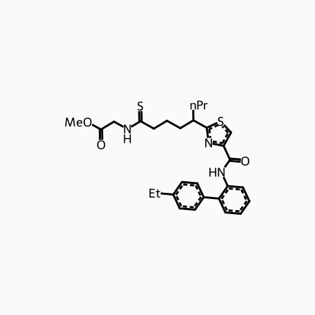 CCCC(CCCC(=S)NCC(=O)OC)c1nc(C(=O)Nc2ccccc2-c2ccc(CC)cc2)cs1